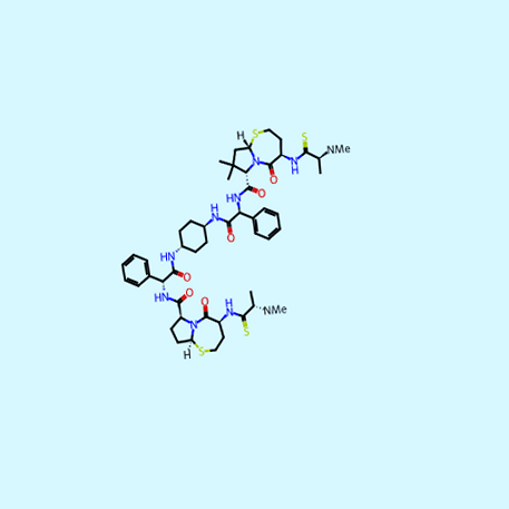 CN[C@@H](C)C(=S)N[C@H]1CCS[C@H]2CC[C@@H](C(=O)N[C@@H](C(=O)N[C@H]3CC[C@H](NC(=O)[C@@H](NC(=O)[C@H]4N5C(=O)[C@H](NC(=S)[C@H](C)NC)CCS[C@H]5CC4(C)C)c4ccccc4)CC3)c3ccccc3)N2C1=O